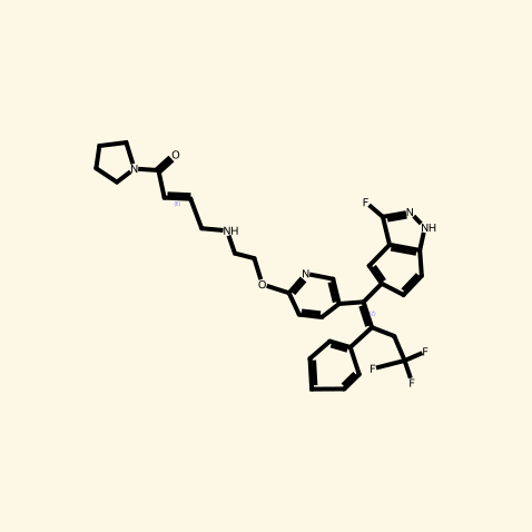 O=C(/C=C/CNCCOc1ccc(/C(=C(/CC(F)(F)F)c2ccccc2)c2ccc3[nH]nc(F)c3c2)cn1)N1CCCC1